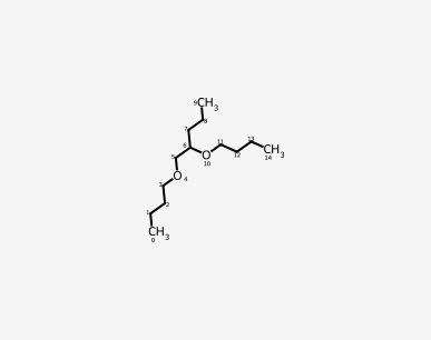 CCCCOCC(CCC)OCCCC